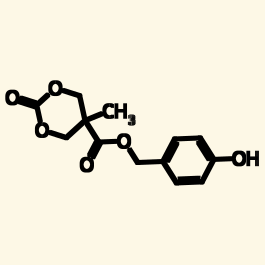 CC1(C(=O)OCc2ccc(O)cc2)COC(=O)OC1